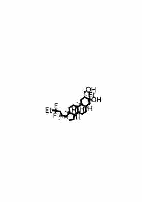 CCC(F)(F)C[C@@H](C)[C@H]1CC[C@H]2[C@@H]3CC[C@H]4C[C@](O)(CC)[C@@H](CO)C[C@]4(C)[C@H]3CC[C@]12C